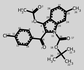 CC(=O)Oc1c(C(=O)c2ccc(Cl)cc2)n(C(=O)OC(C)(C)C)c2cc(C)ccc12